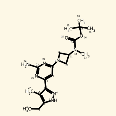 CCc1[nH]nc(-c2cc(N3CC(N(C)C(=O)OC(C)(C)C)C3)nc(N)n2)c1C